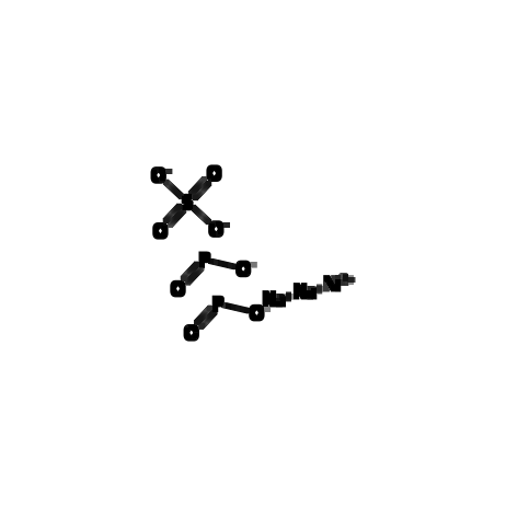 O=P[O-].O=P[O-].O=S(=O)([O-])[O-].[Na+].[Na+].[Ni+2]